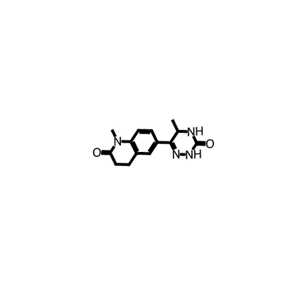 CC1NC(=O)NN=C1c1ccc2c(c1)CCC(=O)N2C